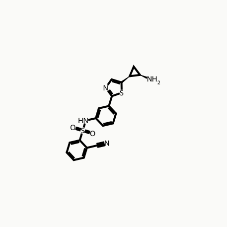 N#Cc1ccccc1S(=O)(=O)Nc1cccc(-c2ncc([C@H]3C[C@H]3N)s2)c1